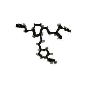 CCCCCCCCCCOc1ccc(C=CC(=O)OCCCC)c(C=Cc2ccc(N)cc2)c1